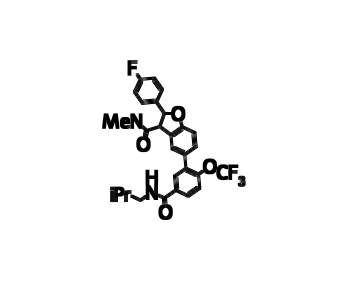 CNC(=O)C1c2cc(-c3cc(C(=O)NCC(C)C)ccc3OC(F)(F)F)ccc2OC1c1ccc(F)cc1